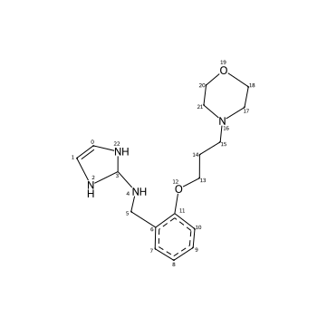 C1=CNC(NCc2ccccc2OCCCN2CCOCC2)N1